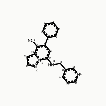 N#Cc1c(-c2ccccc2)cc(NCc2cccnc2)n2nccc12